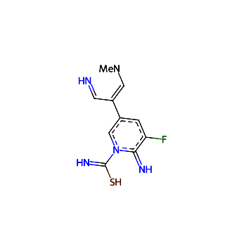 CN/C=C(\C=N)c1cc(F)c(=N)n(C(=N)S)c1